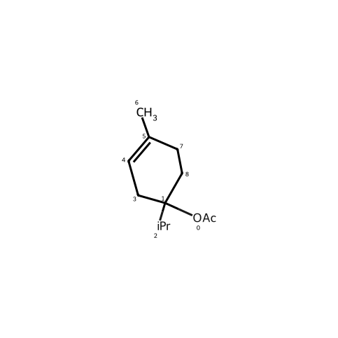 CC(=O)OC1(C(C)C)CC=C(C)CC1